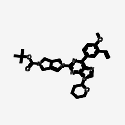 C=Cc1cc(-c2nc(N3C=C4CN(C(=O)OC(C)(C)C)CC4C3)nc3c2ncn3C2CCCCO2)ccc1OC